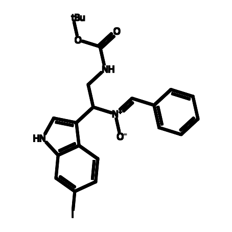 CC(C)(C)OC(=O)NCC(c1c[nH]c2cc(I)ccc12)[N+]([O-])=Cc1ccccc1